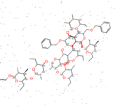 CCC1O[C@H](O[C@@H]2C(OCc3ccccc3)[C@@H](OCC3O[C@@H](O[C@@H]4C(CC)O[C@@H](O[C@@H]5C(CC)O[C@@H](OCCN)C(C)[C@H]5C)C(C)[C@H]4C)C(C)[C@@H](O[C@H]4OC(CC)[C@@H](C)C(C)C4O[C@@H]4OC(CC)[C@@H](O[C@@H]5OC(COCc6ccccc6)[C@H](C)[C@H](C)C5C)[C@H](C)C4C)[C@@H]3O)OC(CO[C@H]3OC(CC)[C@@H](C)[C@H](C)C3C)[C@H]2C)C(C)C(C)[C@@H]1C